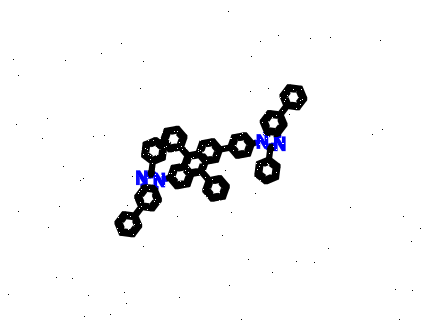 c1ccc(-c2ccc3c(c2)nc(-c2ccccc2)n3-c2ccc(-c3ccc4c(-c5ccccc5)c5cc(-n6c(-c7ccccc7)nc7cc(-c8ccccc8)ccc76)ccc5c(-c5ccccc5)c4c3)cc2)cc1